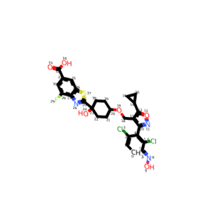 C\C=C(Cl)/C(=C(Cl)\C=N\O)c1noc(C2CC2)c1COC1CCC(O)(c2nc3c(F)cc(C(=O)O)cc3s2)CC1